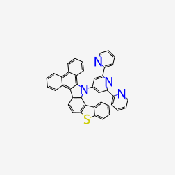 c1ccc(-c2cc(-n3c4c(ccc5sc6ccccc6c54)c4c5ccccc5c5ccccc5c43)cc(-c3ccccn3)n2)nc1